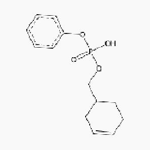 O=P(O)(OCC1CC=CCC1)Oc1ccccc1